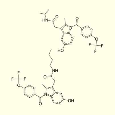 CCCCNC(=O)Cc1c(C)n(C(=O)c2ccc(OC(F)(F)F)cc2)c2ccc(O)cc12.Cc1c(CC(=O)NC(C)C)c2cc(O)ccc2n1C(=O)c1ccc(OC(F)(F)F)cc1